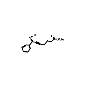 COC(=O)CCCC#C/C(=N\O)c1ccccc1